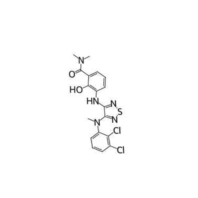 CN(C)C(=O)c1cccc(Nc2nsnc2N(C)c2cccc(Cl)c2Cl)c1O